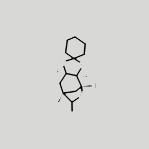 CC1O[C@@H]2C[C@@]1(C)C[C@H]1OC3(CCCCC3)O[C@@H]21